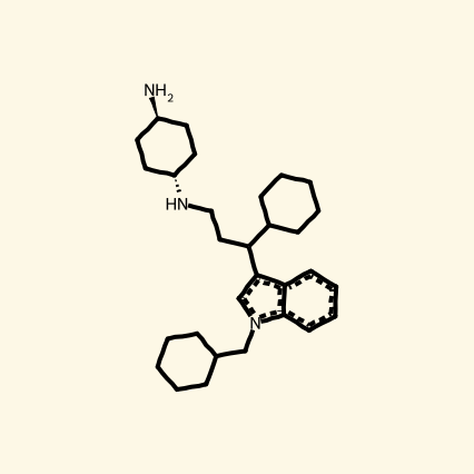 N[C@H]1CC[C@H](NCCC(c2cn(CC3CCCCC3)c3ccccc23)C2CCCCC2)CC1